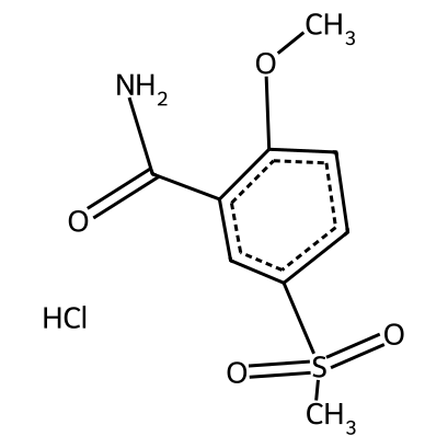 COc1ccc(S(C)(=O)=O)cc1C(N)=O.Cl